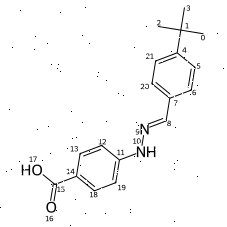 CC(C)(C)c1ccc(C=NNc2ccc(C(=O)O)cc2)cc1